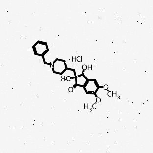 COc1cc2c(cc1OC)C(O)C(O)(CC1CCN(Cc3ccccc3)CC1)C2=O.Cl